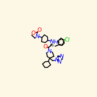 O=C([C@@H](Cc1ccc(Cl)cc1)NC1CCC(N2CCOC2=O)CC1)N1CCC(Cn2cncn2)(C2CCCCC2)CC1